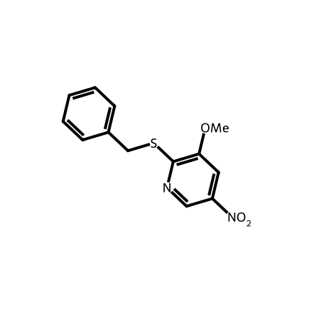 COc1cc([N+](=O)[O-])cnc1SCc1ccccc1